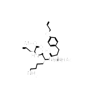 C=CCOc1ccc(C[C@H](NC(C)=O)C(=O)N[C@@H](CCCCN)C(=O)N[C@@H](CC=C)C(=O)OC)cc1.Cl